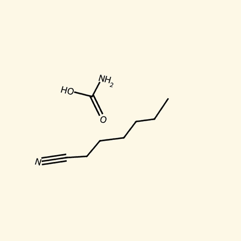 CCCCCCC#N.NC(=O)O